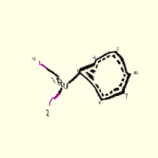 [I][Ru]([I])[c]1ccccc1